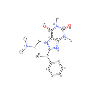 CCN(CC)CCn1c(C(c2ccccc2)C(C)C)nc2c1c(=O)n(C)c(=O)n2C